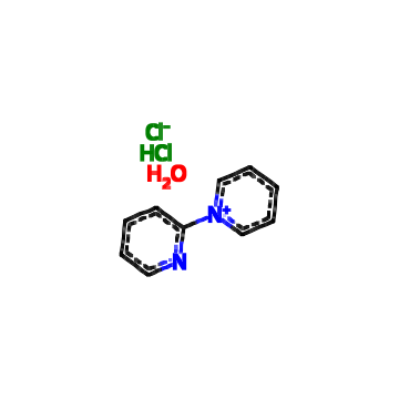 Cl.O.[Cl-].c1cc[n+](-c2ccccn2)cc1